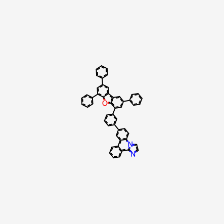 c1ccc(-c2cc(-c3ccccc3)c3oc4c(-c5cccc(-c6ccc7c(c6)c6ccccc6c6nccn76)c5)cc(-c5ccccc5)cc4c3c2)cc1